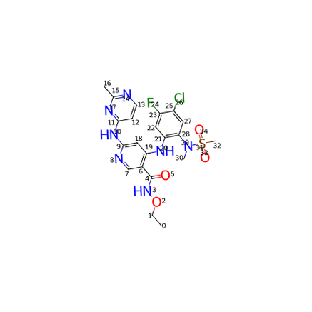 CCONC(=O)c1cnc(Nc2ccnc(C)n2)cc1Nc1cc(F)c(Cl)cc1N(C)S(C)(=O)=O